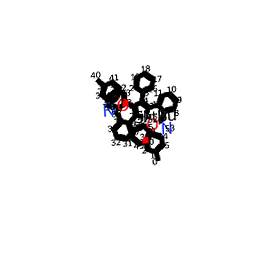 Cc1ccc2oc(-c3ccccc3C3=C(c4ccccc4)C(c4ccccc4)=C(c4ccccc4-c4nc5cc(C)ccc5o4)[Si]3(c3ccccc3)C(C)(C)C)nc2c1